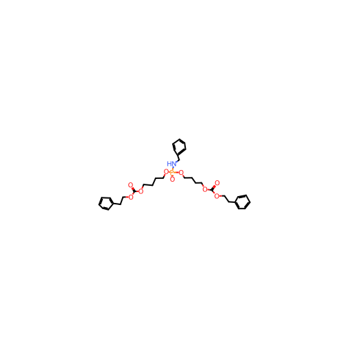 O=C(OCCCCOP(=O)(NCc1ccccc1)OCCCCOC(=O)OCCc1ccccc1)OCCc1ccccc1